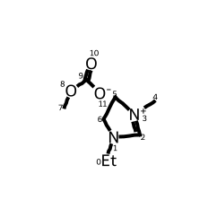 CCN1C=[N+](C)CC1.COC(=O)[O-]